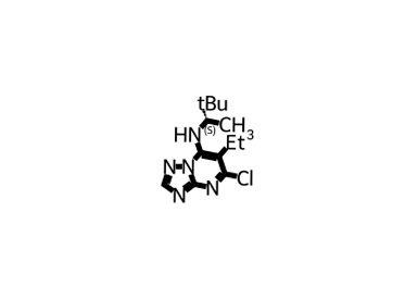 CCc1c(Cl)nc2ncnn2c1N[C@@H](C)C(C)(C)C